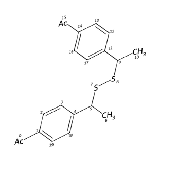 CC(=O)c1ccc(C(C)SSC(C)c2ccc(C(C)=O)cc2)cc1